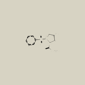 COC(=O)[C@@H]1C[C@H](O)CN1S(=O)(=O)c1ccccc1